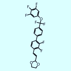 Fc1cc(OC(F)(F)c2ccc(-c3ccc(/C=C/C4OCCO4)c(F)c3F)cc2)cc(F)c1F